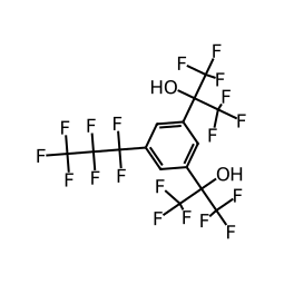 OC(c1cc(C(F)(F)C(F)(F)C(F)(F)F)cc(C(O)(C(F)(F)F)C(F)(F)F)c1)(C(F)(F)F)C(F)(F)F